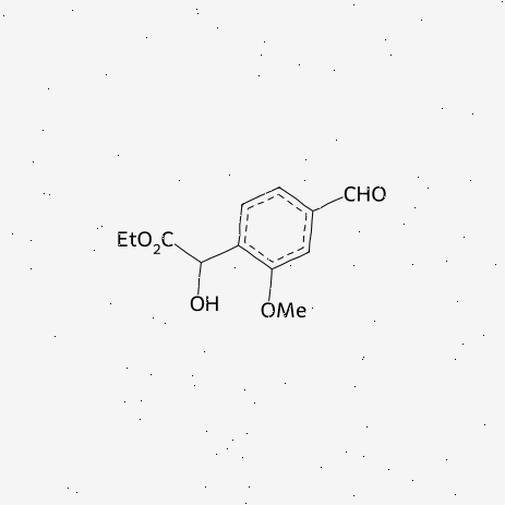 CCOC(=O)C(O)c1ccc(C=O)cc1OC